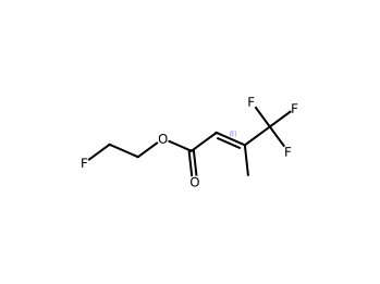 C/C(=C\C(=O)OCCF)C(F)(F)F